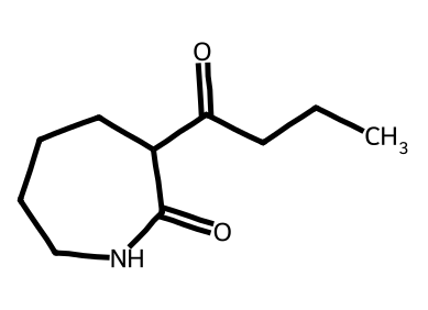 CCCC(=O)C1CCCCNC1=O